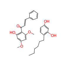 CCCCCCc1ccc(O)cc1O.COc1cc(O)c(C(=O)C=Cc2ccccc2)c(OC)c1